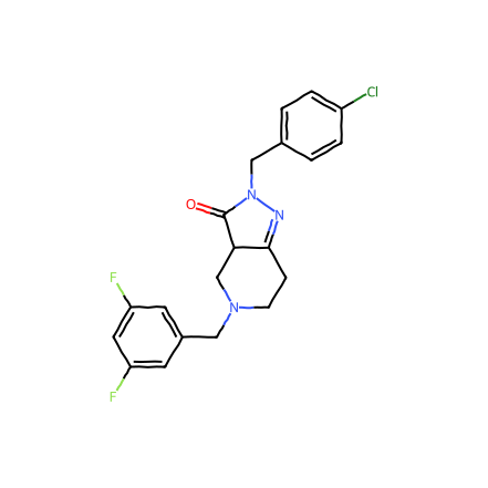 O=C1C2CN(Cc3cc(F)cc(F)c3)CCC2=NN1Cc1ccc(Cl)cc1